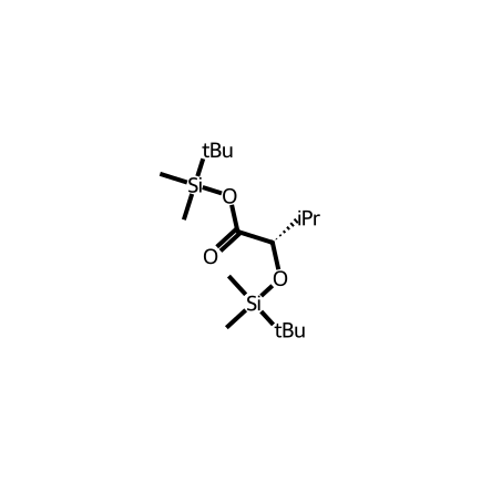 CC(C)[C@H](O[Si](C)(C)C(C)(C)C)C(=O)O[Si](C)(C)C(C)(C)C